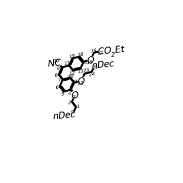 CCCCCCCCCCCCOc1ccc(C=C(C#N)c2ccc(OCC(=O)OCC)cc2)cc1OCCCCCCCCCCCC